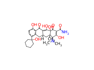 CN(C)[C@@H]1C(O)=C(C(N)=O)C(=O)[C@@]2(O)C(O)=C3C(=O)c4c(O)ccc(C5(O)CCCCC5)c4C[C@H]3C[C@@]12C